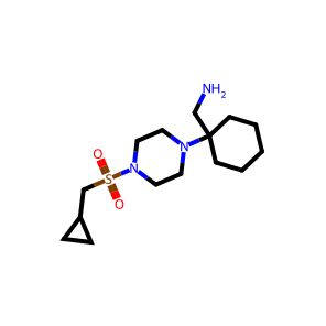 NCC1(N2CCN(S(=O)(=O)CC3CC3)CC2)CCCCC1